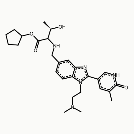 Cc1cc(-c2nc3cc(CNC(C(=O)OC4CCCC4)[C@@H](C)O)ccc3n2CCN(C)C)c[nH]c1=O